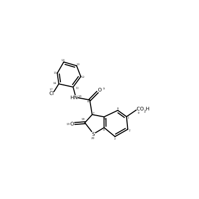 O=C(O)c1ccc2c(c1)C(C(=O)Nc1ccccc1Cl)C(=O)S2